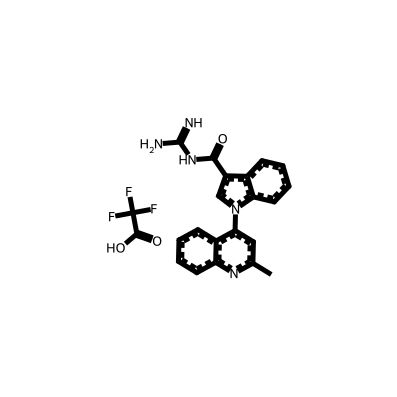 Cc1cc(-n2cc(C(=O)NC(=N)N)c3ccccc32)c2ccccc2n1.O=C(O)C(F)(F)F